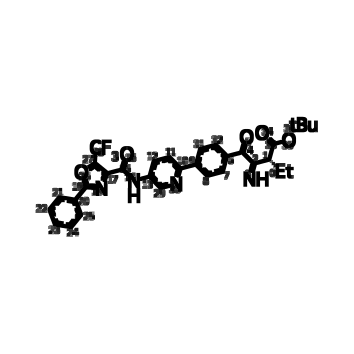 CC[C@H](C(=N)C(=O)c1ccc(-c2ccc(NC(=O)c3nc(-c4ccccc4)oc3C(F)(F)F)cn2)cc1)C(=O)OC(C)(C)C